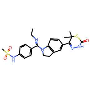 CCN=C(c1ccc(NS(C)(=O)=O)cc1)N1CCc2cc(C3=NNC(=O)SC3(C)C)ccc21